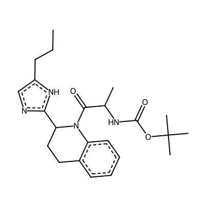 CCCc1cnc(C2CCc3ccccc3N2C(=O)C(C)NC(=O)OC(C)(C)C)[nH]1